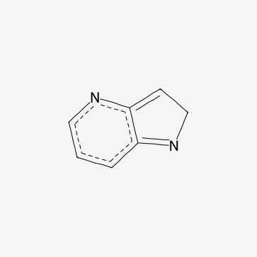 C1=c2ncccc2=NC1